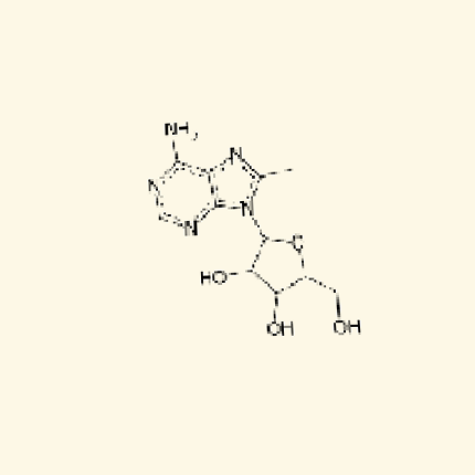 Cc1nc2c(N)ncnc2n1C1OC(CO)C(O)C1O